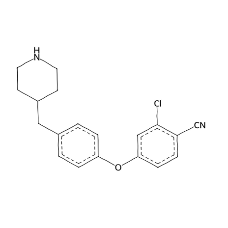 N#Cc1ccc(Oc2ccc(CC3CCNCC3)cc2)cc1Cl